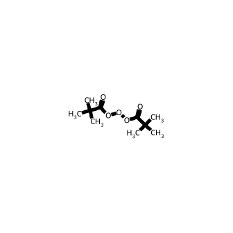 CC(C)(C)C(=O)OOOC(=O)C(C)(C)C